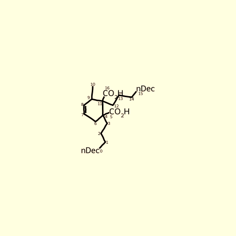 CCCCCCCCCCCCCC1(C(=O)O)CC=CC(C)C1(CCCCCCCCCCCCC)C(=O)O